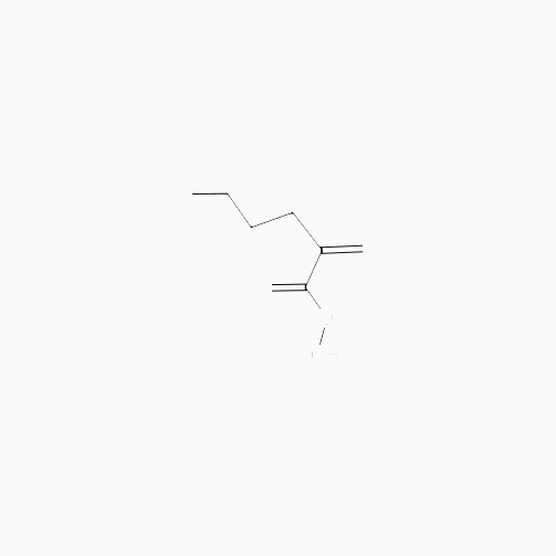 C=C(CCCC)C(=O)OO